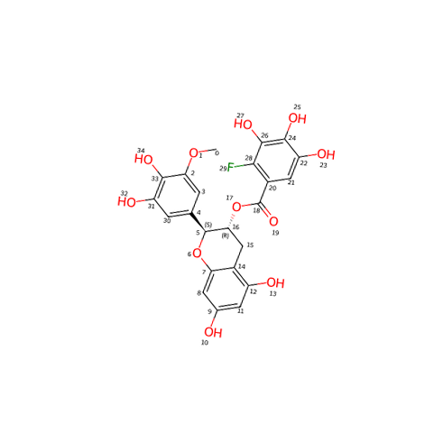 COc1cc([C@@H]2Oc3cc(O)cc(O)c3C[C@H]2OC(=O)c2cc(O)c(O)c(O)c2F)cc(O)c1O